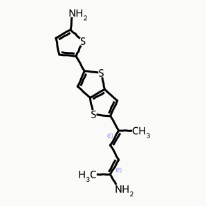 C/C(N)=C\C=C(/C)c1cc2sc(-c3ccc(N)s3)cc2s1